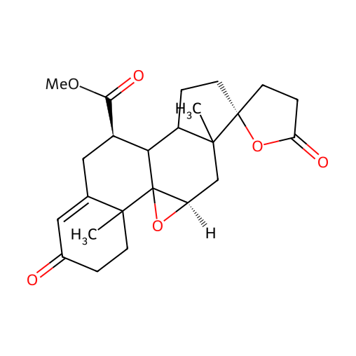 COC(=O)[C@@H]1CC2=CC(=O)CCC2(C)C23O[C@@H]2CC2(C)C(CC[C@@]24CCC(=O)O4)C13